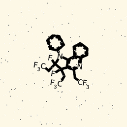 FC(F)(F)Cc1nc2ccccc2c2c1C(F)(CC(F)(F)F)C(F)(CC(F)(F)F)N2c1ccccc1